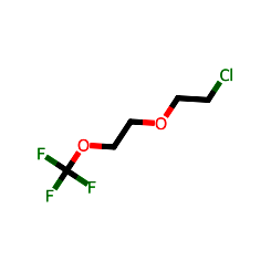 FC(F)(F)OCCOCCCl